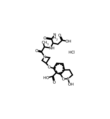 CC(NC(CC(=O)O)C(N)=O)C(=O)N1CC(Oc2ccc3c(c2C(=O)O)OB(O)CC3)C1.Cl